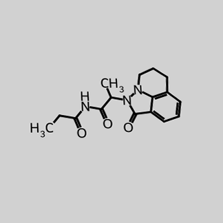 CCC(=O)NC(=O)C(C)n1c(=O)c2cccc3c2n1CCC3